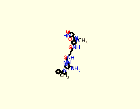 Cn1nc(C2CCC(=O)NC2=O)c2ccc(NC(=O)CCCCNC(=O)c3nc4c(CN)cc(N5CC[C@](C)(c6ccccc6)C5)cn4n3)cc21